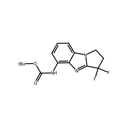 CC(C)(C)OC(=O)Nc1cccc2c1nc1n2CCC1(F)F